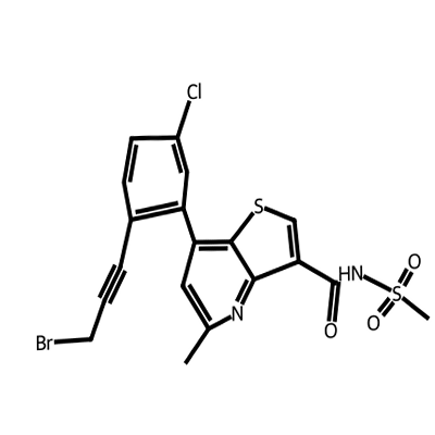 Cc1cc(-c2cc(Cl)ccc2C#CCBr)c2scc(C(=O)NS(C)(=O)=O)c2n1